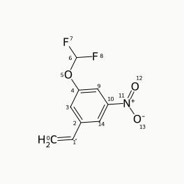 C=[C]c1cc(OC(F)F)cc([N+](=O)[O-])c1